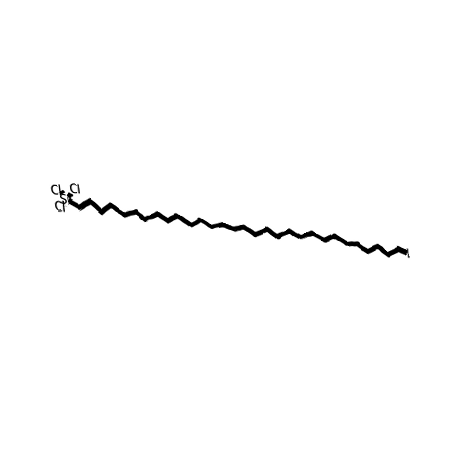 Cl[Si](Cl)(Cl)CCCCCCCCCCCCCCCCCCCCCCCCCCCCCCI